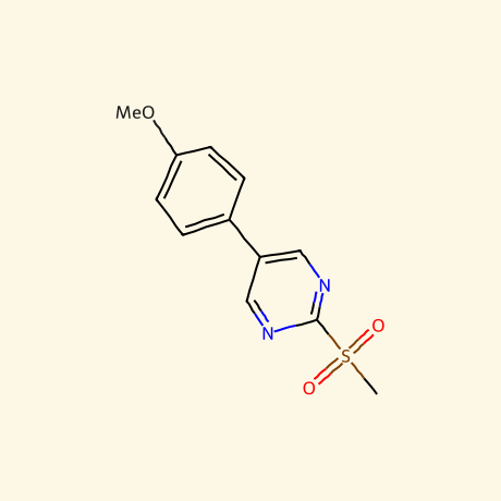 COc1ccc(-c2cnc(S(C)(=O)=O)nc2)cc1